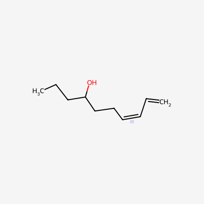 C=C/C=C\CCC(O)CCC